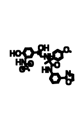 COc1ccc(C(C)(NC[C@@H](O)c2ccc(O)c(NS(C)(=O)=O)c2)C(=O)Nc2cccc(-c3ncco3)c2)cc1